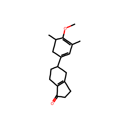 COC1=C(C)C=C(C2CCC3=C(CCC3=O)C2)CC1C